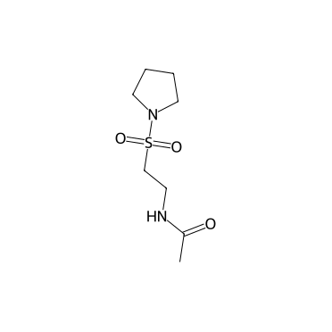 CC(=O)NCCS(=O)(=O)N1CCCC1